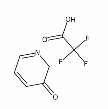 O=C(O)C(F)(F)F.O=C1C=CC=NC1